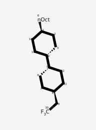 CCCCCCCC[C@H]1CC[C@H]([C@H]2CC[C@H](CC(F)(F)F)CC2)CC1